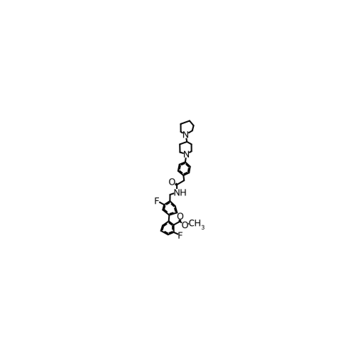 COC(=O)c1c(F)cccc1-c1ccc(CNC(=O)Cc2ccc(N3CCC(N4CCCCC4)CC3)cc2)c(F)c1